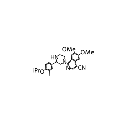 COc1cc2c(C#N)cnc(N3CCNC(c4ccc(OC(C)C)c(C)c4)C3)c2cc1OC